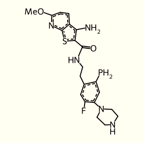 COc1ccc2c(N)c(C(=O)NCCc3cc(F)c(N4CCNCC4)cc3P)sc2n1